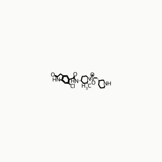 C[C@@H]1C[C@H](NC(=O)c2cc3c(cc2Cl)NC(=O)C3)CCN1S(=O)(=O)C[C@H]1CCCNC1